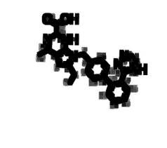 CCc1cc2c(n1Cc1ccc(-c3ccccc3-c3nnn[nH]3)cc1)NC(C(=O)O)N=C2C